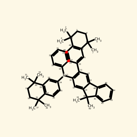 CC1(C)CCC(C)(C)c2cc(-c3cc4c(cc3N(c3ccccc3)c3ccc5c(c3)C(C)(C)CCC5(C)C)C(C)(C)c3ccccc3-4)ccc21